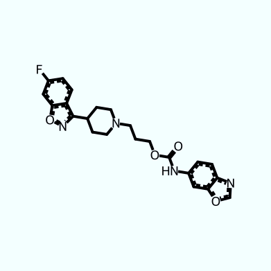 O=C(Nc1ccc2ncoc2c1)OCCCN1CCC(c2noc3cc(F)ccc23)CC1